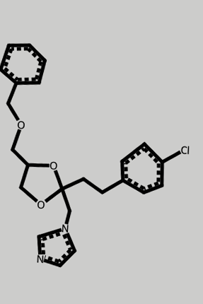 Clc1ccc(CCC2(Cn3ccnc3)OCC(COCc3ccccc3)O2)cc1